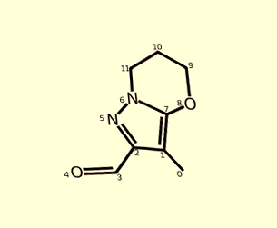 Cc1c(C=O)nn2c1OCCC2